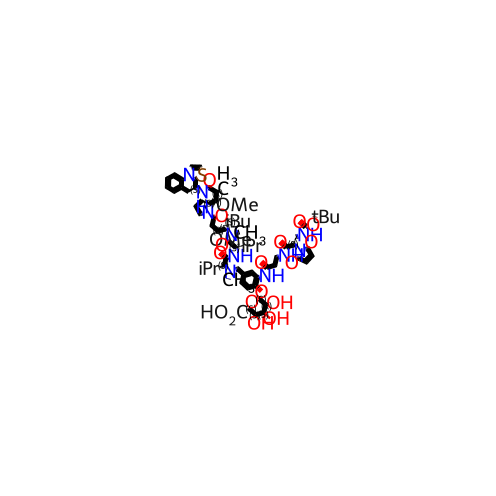 CC[C@H](C)[C@@H]([C@@H](CC(=O)N1CCC[C@H]1[C@H](OC)[C@@H](C)C(=O)N[C@@H](Cc1ccccc1)c1nccs1)OC)N(C)C(=O)[C@@H](NC(=O)[C@H](C(C)C)N(C)Cc1ccc(O[C@@H]2O[C@H](C(=O)O)[C@@H](O)[C@H](O)[C@H]2O)c(NC(=O)CCNC(=O)[C@H](CNC(=O)OC(C)(C)C)N2C(=O)C=CC2=O)c1)C(C)C